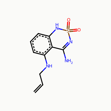 C=CCNc1cccc2c1C(N)=NS(=O)(=O)N2